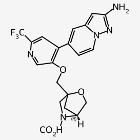 Nc1cc2cc(-c3cc(C(F)(F)F)ncc3OCC34C[C@H](CO3)N(C(=O)O)C4)ccn2n1